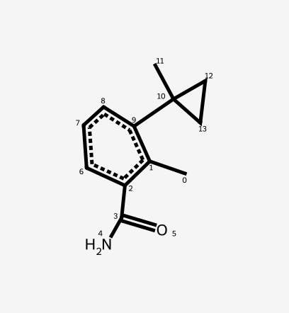 Cc1c(C(N)=O)cccc1C1(C)CC1